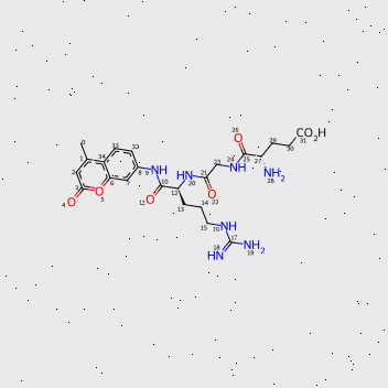 Cc1cc(=O)oc2cc(NC(=O)[C@H](CCCNC(=N)N)NC(=O)CNC(=O)[C@@H](N)CCC(=O)O)ccc12